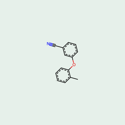 Cc1c[c]ccc1Oc1cccc(C#N)c1